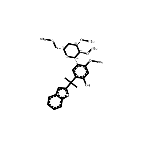 CCCCOC[C@@H]1C[C@H](OCCCC)[C@@H](OCCCC)[C@H](c2cc(C(C)(C)c3cc4ccccc4s3)c(O)cc2OCCCC)O1